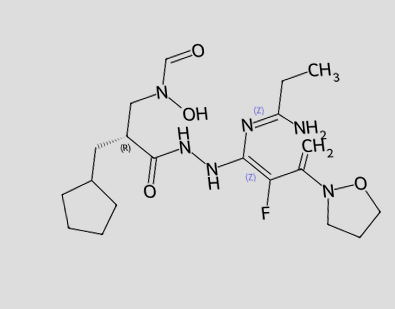 C=C(/C(F)=C(\N=C(/N)CC)NNC(=O)[C@H](CC1CCCC1)CN(O)C=O)N1CCCO1